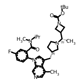 Cc1cncc2c1c(C[C@@H]1CCN([C@@H](C)C3CN(C(=O)OC(C)(C)C)C3)C1)cn2-c1ccc(F)cc1C(=O)N(C)C(C)C